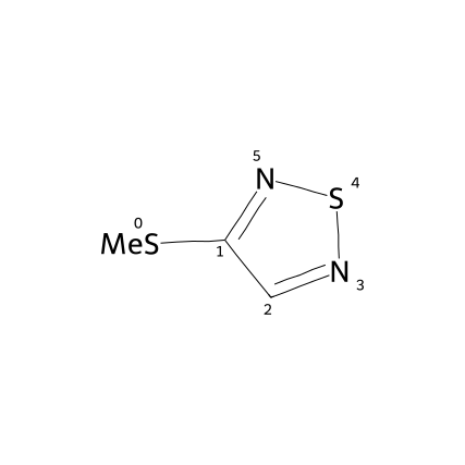 CSc1cnsn1